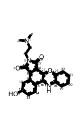 CN(C)CCn1c(=O)c2c3cc(O)ccc3c3[nH]c4ccccc4oc3c2c1=O